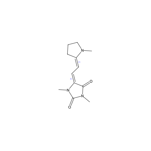 CN1C(=O)/C(=C\C=C2/CCCN2C)N(C)C1=O